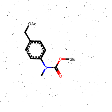 CC(=O)OCc1ccc(N(C)C(=O)OC(C)(C)C)cc1